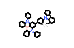 Cc1cccc2c3ccccc3n(-c3ccc(-c4cc5c6c(c4)N(c4ccccc4)c4ccccc4B6c4ccccc4N5c4ccccc4)cc3)c12